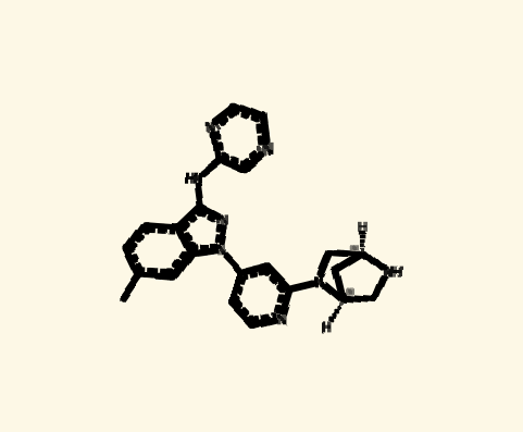 Cc1ccc2c(Nc3cnccn3)nn(-c3ccnc(N4C[C@@H]5C[C@H]4CN5)c3)c2c1